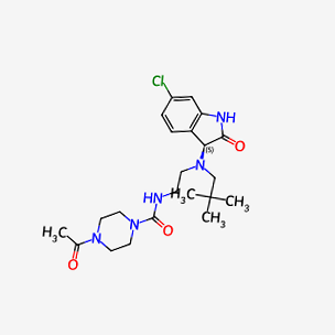 CC(=O)N1CCN(C(=O)NCCN(CC(C)(C)C)[C@@H]2C(=O)Nc3cc(Cl)ccc32)CC1